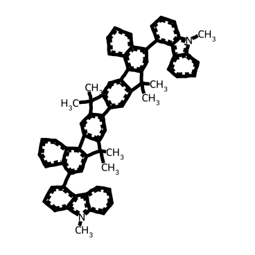 Cn1c2ccccc2c2c(-c3cc4c(c5ccccc35)-c3cc5c(cc3C4(C)C)-c3cc4c(cc3C5(C)C)-c3c(cc(-c5cccc6c5c5ccccc5n6C)c5ccccc35)C4(C)C)cccc21